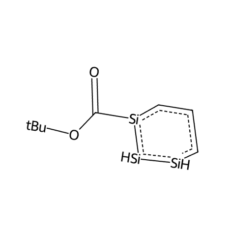 CC(C)(C)OC(=O)[si]1ccc[siH][siH]1